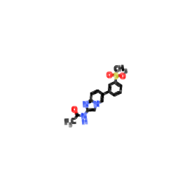 CS(=O)(=O)c1cccc(-c2ccc3nc(NC(=O)C(F)(F)F)cn3c2)c1